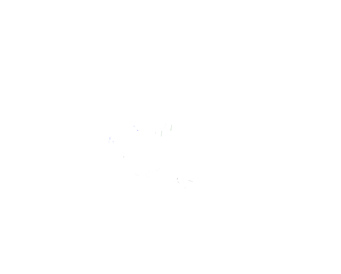 Cl.Cl.O=C(O)C1=CC=C2N=CN=C2C1